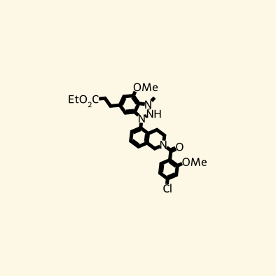 CCOC(=O)CCc1cc(OC)c2c(c1)N(c1cccc3c1CCN(C(=O)c1ccc(Cl)cc1OC)C3)NN2C